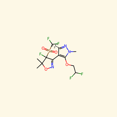 Cn1nc(C(F)(F)F)c(C2=NOC(C)(C)C2(F)S(=O)(=O)C(F)F)c1OCC(F)F